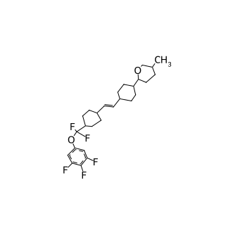 CC1CCC(C2CCC(/C=C/C3CCC(C(F)(F)Oc4cc(F)c(F)c(F)c4)CC3)CC2)OC1